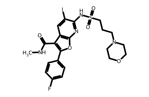 CNC(=O)c1c(-c2ccc(F)cc2)oc2nc(NS(=O)(=O)CCCN3CCOCC3)c(I)cc12